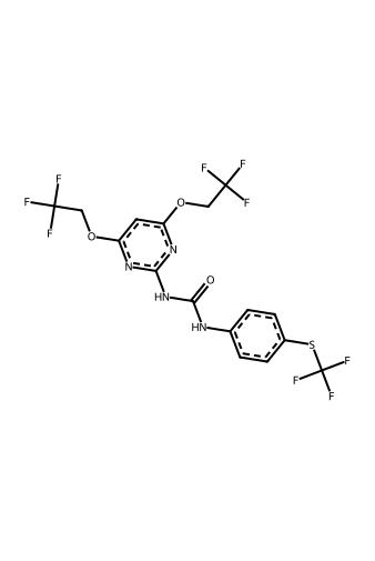 O=C(Nc1ccc(SC(F)(F)F)cc1)Nc1nc(OCC(F)(F)F)cc(OCC(F)(F)F)n1